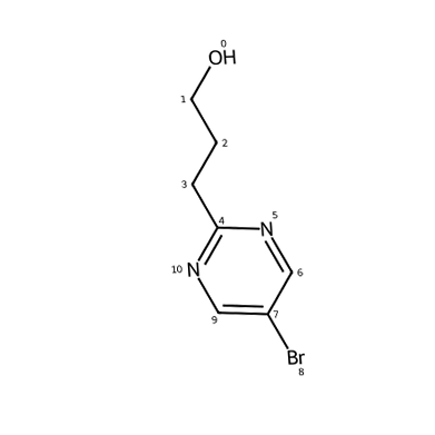 OCCCc1ncc(Br)cn1